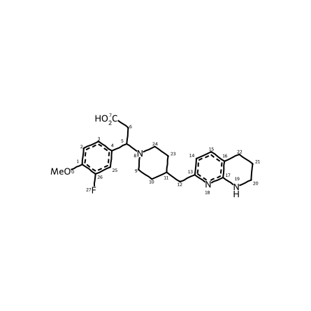 COc1ccc(C(CC(=O)O)N2CCC(Cc3ccc4c(n3)NCCC4)CC2)cc1F